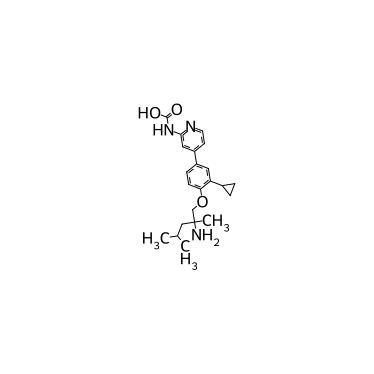 CC(C)CC(C)(N)COc1ccc(-c2ccnc(NC(=O)O)c2)cc1C1CC1